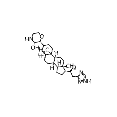 C[C@]12CCC([C@@H]3OCCN[C@H]3O)C[C@@H]1CC[C@@H]1[C@@H]2CC[C@]2(C)[C@@H](C(=O)Cc3nc[nH]n3)CC[C@@H]12